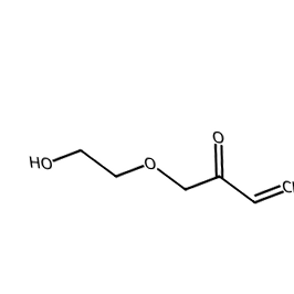 C=CC(=O)COCCO